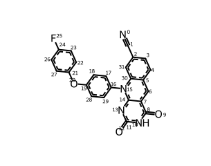 N#Cc1ccc2cc3c(=O)[nH]c(=O)nc-3n(-c3ccc(Oc4ccc(F)cc4)cc3)c2c1